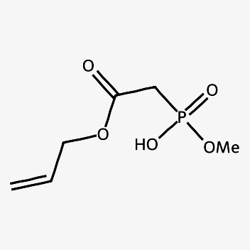 C=CCOC(=O)CP(=O)(O)OC